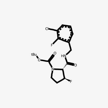 CC(C)(C)OC(=O)N1CC[C@H](F)[C@H]1C(=O)NCc1cccc(Cl)c1F